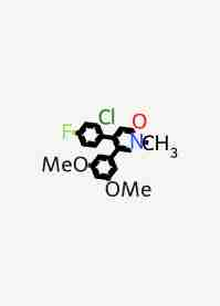 COc1cc(OC)cc(-c2cn(C)c(=O)cc2-c2ccc(F)cc2Cl)c1